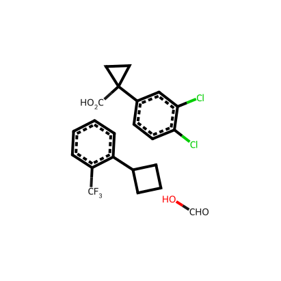 FC(F)(F)c1ccccc1C1CCC1.O=C(O)C1(c2ccc(Cl)c(Cl)c2)CC1.O=CO